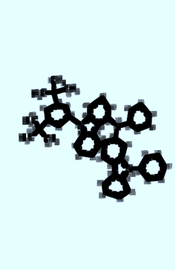 CC(C)(C)c1cc(-n2c3ccccc3c3c(N(c4ccccc4)c4ccc5c6ccccc6n(-c6ccccc6)c5c4)cccc32)cc(C(C)(C)C)c1